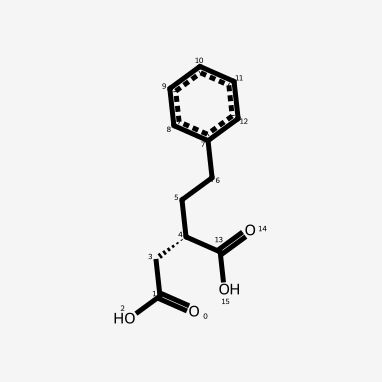 O=C(O)C[C@H](C[CH]c1ccccc1)C(=O)O